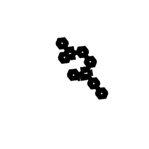 c1ccc(-c2ccc(C3=NC(c4cccc(-c5cccc(-c6nc(-c7ccccc7)c7ccccc7n6)c5)c4)=NC(c4ccccc4)N3)cc2)cc1